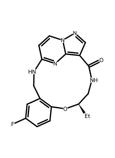 CC[C@@H]1CNC(=O)c2cnn3ccc(nc23)NCc2cc(F)ccc2O1